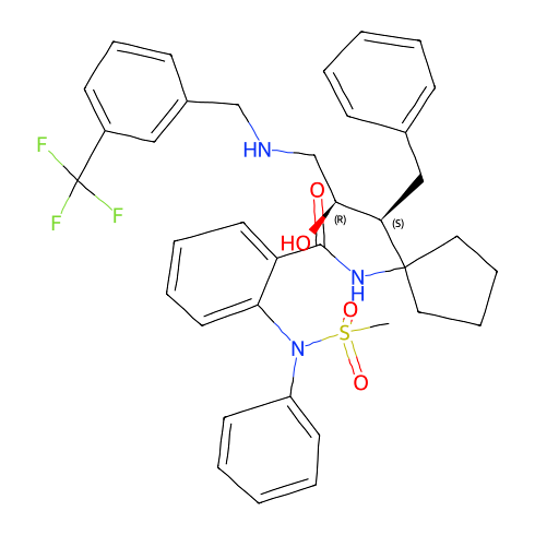 CS(=O)(=O)N(c1ccccc1)c1ccccc1C(=O)NC1([C@H](Cc2ccccc2)[C@@H](O)CNCc2cccc(C(F)(F)F)c2)CCCC1